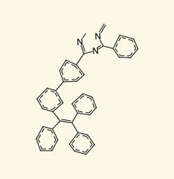 C=N/C(=N\C(=N/C)c1ccc(-c2cccc(C(=C(c3ccccc3)c3ccccc3)c3ccccc3)c2)cc1)c1ccccc1